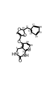 O=C1NCc2c(OC3=COC(Cc4ccccc4)O3)ccnc2N1